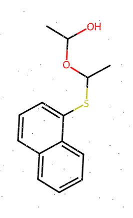 CC(O)OC(C)Sc1cccc2ccccc12